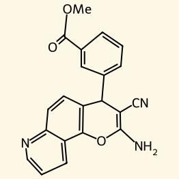 COC(=O)c1cccc(C2C(C#N)=C(N)Oc3c2ccc2ncccc32)c1